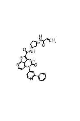 C=CC(=O)N[C@H]1CC[C@@H](NC(=O)c2sc3nccc4c3c2NC(=O)N4c2ccnc(-c3ccccc3)c2)C1